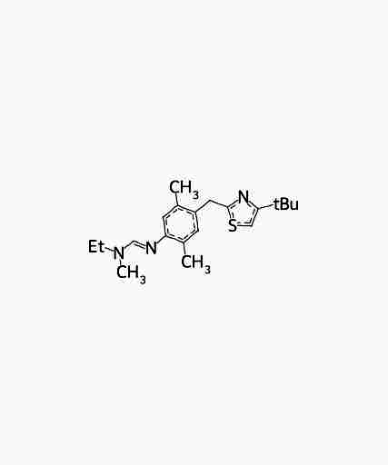 CCN(C)/C=N/c1cc(C)c(Cc2nc(C(C)(C)C)cs2)cc1C